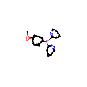 COc1ccc(P(c2ccccn2)c2ccccn2)cc1